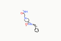 CNC(=O)CCN1CCC(CN[C@@H]2C[C@H]2c2ccccc2)(COC)CC1